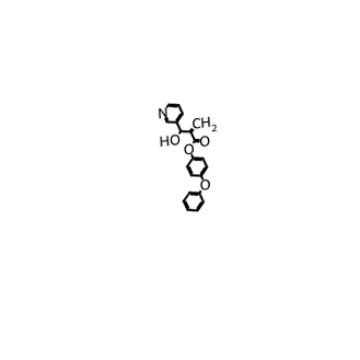 C=C(C(=O)Oc1ccc(Oc2ccccc2)cc1)C(O)c1cccnc1